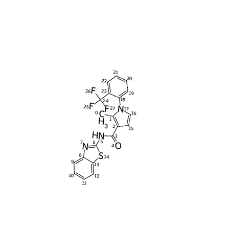 Cc1c(C(=O)Nc2nc3ccccc3s2)ccn1-c1ccccc1C(F)(F)F